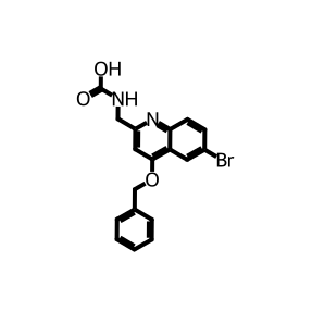 O=C(O)NCc1cc(OCc2ccccc2)c2cc(Br)ccc2n1